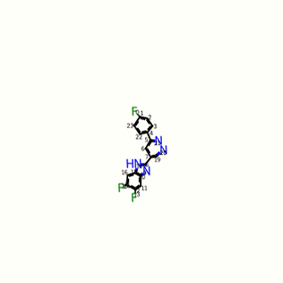 Fc1ccc(-c2cc(-c3nc4cc(F)c(F)cc4[nH]3)cnn2)cc1